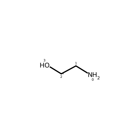 NC[CH]O